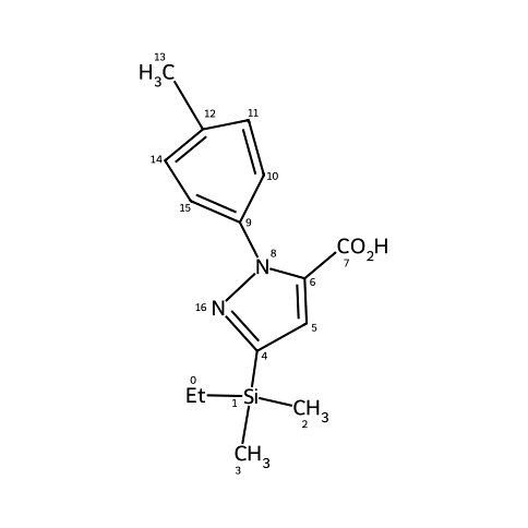 CC[Si](C)(C)c1cc(C(=O)O)n(-c2ccc(C)cc2)n1